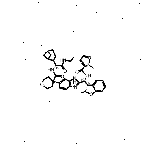 CCNC(=O)[C@H](NC(=O)C1(c2ccc3nc([C@@H](NC(=O)c4ccnn4C)[C@@H]4c5ccccc5OC4C)[nH]c3c2)CCOCC1)C1CCC2CC1C2